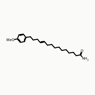 COc1ccc(CCCC=CCCCCCCCCCC(N)=O)cc1